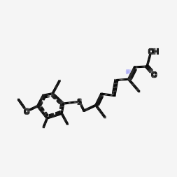 COc1cc(C)c(SCC(C)=CC=C/C(C)=C/C(=O)O)c(C)c1C